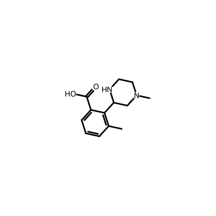 Cc1cccc(C(=O)O)c1C1CN(C)CCN1